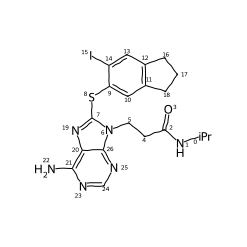 CC(C)NC(=O)CCn1c(Sc2cc3c(cc2I)CCC3)nc2c(N)ncnc21